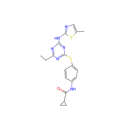 CCc1nc(Nc2ncc(C)s2)nc(Sc2ccc(NC(=O)C3CC3)cc2)n1